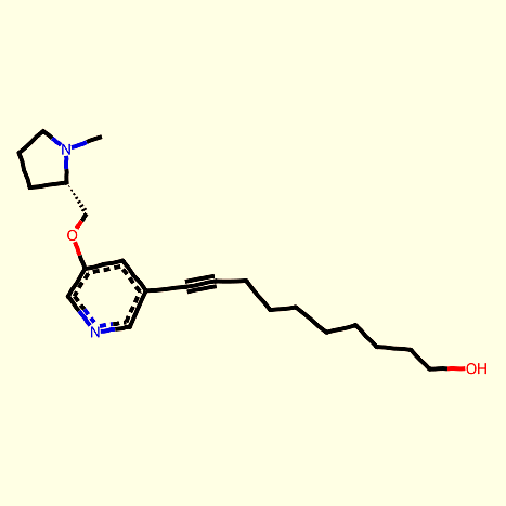 CN1CCC[C@H]1COc1cncc(C#CCCCCCCCCO)c1